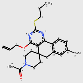 C=CCOc1nc(SCCOC)nc2c1C1(CCN(C(=O)CCCC)CC1)Cc1cc(OC)ccc1-2